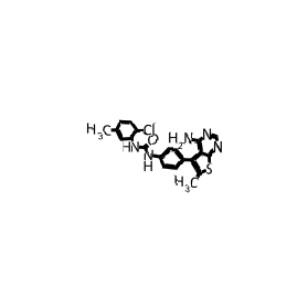 Cc1ccc(Cl)c(NC(=O)Nc2ccc(-c3c(C)sc4ncnc(N)c34)cc2)c1